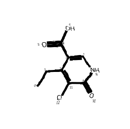 CCc1c(C(=O)O)c[nH]c(=O)c1Cl